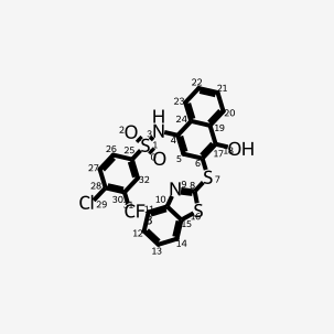 O=S(=O)(Nc1cc(Sc2nc3ccccc3s2)c(O)c2ccccc12)c1ccc(Cl)c(C(F)(F)F)c1